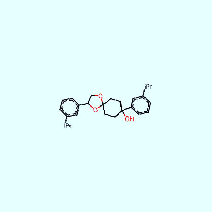 CC(C)c1cccc(C2COC3(CCC(O)(c4cccc(C(C)C)c4)CC3)O2)c1